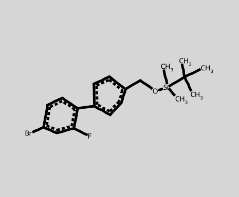 CC(C)(C)[Si](C)(C)OCc1ccc(-c2ccc(Br)cc2F)cc1